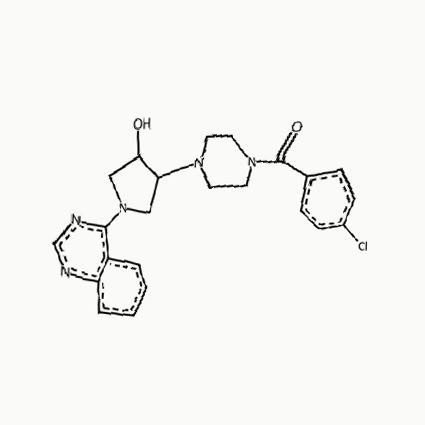 O=C(c1ccc(Cl)cc1)N1CCN(C2CN(c3ncnc4ccccc34)CC2O)CC1